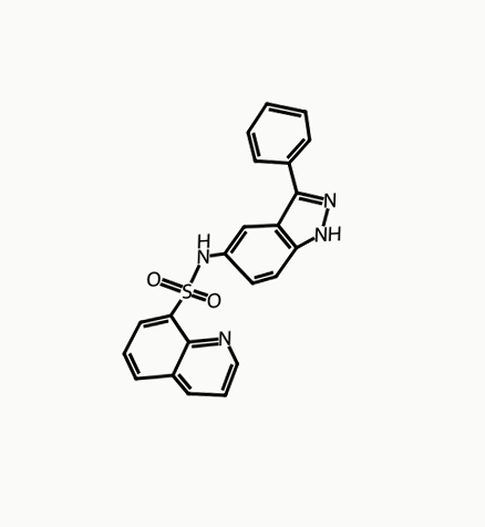 O=S(=O)(Nc1ccc2[nH]nc(-c3ccccc3)c2c1)c1cccc2cccnc12